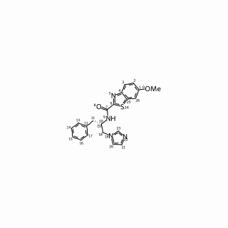 COc1ccc2nc(C(=O)N[C@@H](Cc3ccccc3)Cn3ccnc3)sc2c1